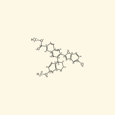 COC(=O)c1ccc2nc(-c3cc4cc(Cl)ccc4o3)c(N3CCCc4cc(OC)ccc43)nc2c1